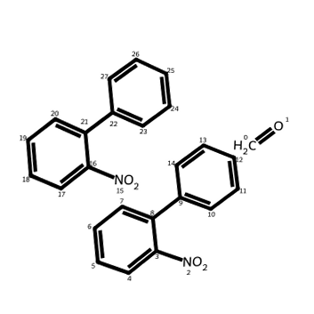 C=O.O=[N+]([O-])c1ccccc1-c1ccccc1.O=[N+]([O-])c1ccccc1-c1ccccc1